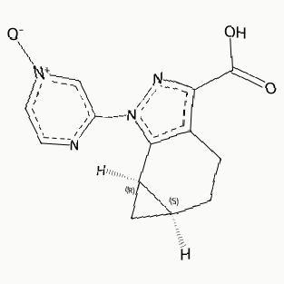 O=C(O)c1nn(-c2c[n+]([O-])ccn2)c2c1CC[C@H]1C[C@@H]21